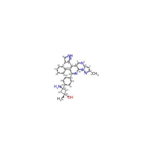 Cc1cc2ncc3c(-c4cc[nH]n4)c(-c4ccccc4)c(-c4ccc([C@]5(N)C[C@](C)(O)C5)cc4)nc3n2n1